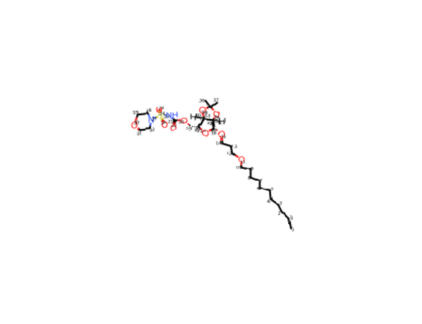 CCCCCCCCCCCOCCCO[C@@H]1O[C@H](COC(=O)NS(=O)(=O)N2CCOCC2)[C@@H]2OC(C)(C)O[C@H]12